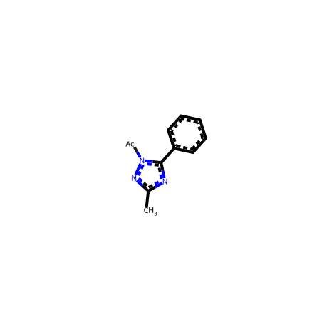 CC(=O)n1nc(C)nc1-c1ccccc1